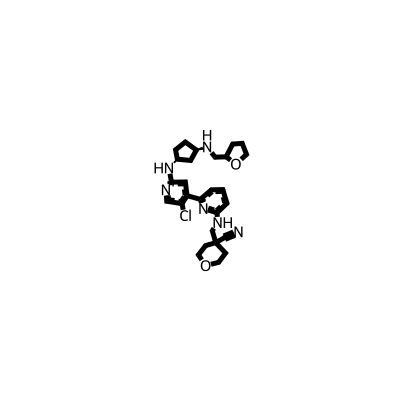 N#CC1(CNc2cccc(-c3cc(N[C@@H]4CC[C@@H](NCC5CCCO5)C4)ncc3Cl)n2)CCOCC1